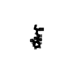 CCC(O)CNS(=O)(=O)c1cccnc1Cl